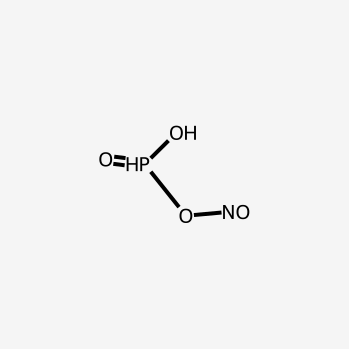 O=NO[PH](=O)O